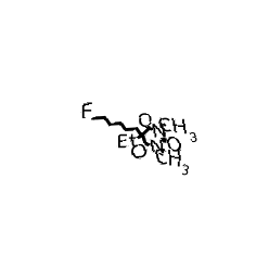 CCC1(CCCCCCF)C(=O)N(C)C(=O)N(C)C1=O